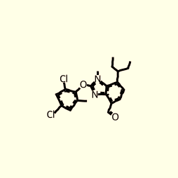 CCC(CC)c1ccc(C=O)c2nc(Oc3c(C)cc(Cl)cc3Cl)n(C)c12